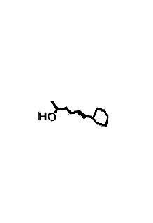 CC(O)CCC=CC1CCCCC1